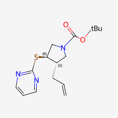 C=CC[C@H]1CN(C(=O)OC(C)(C)C)C[C@@H]1Sc1ncccn1